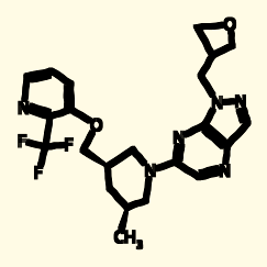 C[C@H]1C[C@@H](COc2cccnc2C(F)(F)F)CN(c2cnc3cnn(CC4COC4)c3n2)C1